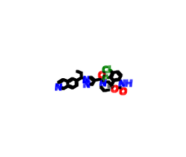 CCC(c1ccc2cnccc2c1)n1cc(C(=O)N2CCC[C@@]3(C2)OC(=O)Nc2ccc(Cl)c(F)c23)cn1